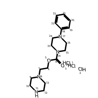 Cl.Cl.Cl.O=C(OCCN1CCNCC1)N1CCN(c2ccccc2)CC1